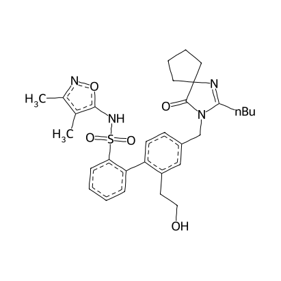 CCCCC1=NC2(CCCC2)C(=O)N1Cc1ccc(-c2ccccc2S(=O)(=O)Nc2onc(C)c2C)c(CCO)c1